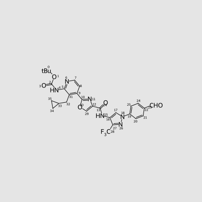 CC(C)(C)OC(=O)Nc1nccc(-c2nc(C(=O)Nc3cn(-c4ccc(C=O)cc4)nc3C(F)(F)F)co2)c1CC1CC1